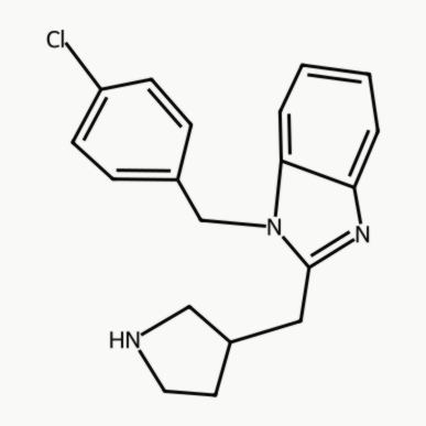 Clc1ccc(Cn2c(CC3CCNC3)nc3ccccc32)cc1